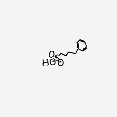 O=S(=O)(O)CCCCc1ccccc1